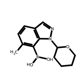 Cc1ccc2cnn(C3CCCCO3)c2c1B(O)O